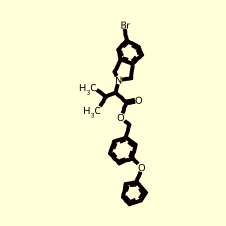 CC(C)C(C(=O)OCc1cccc(Oc2ccccc2)c1)N1Cc2ccc(Br)cc2C1